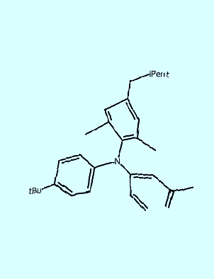 C=C/C(=C\C(=C)C)N(c1ccc(C(C)(C)C)cc1)c1c(C)cc(CC(C)CCC)cc1C